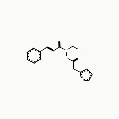 O=[C]CN(NC(=O)Cc1cccs1)C(=O)/C=C/c1ccccc1